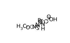 CCOC1CCN(c2nc(C(=O)Nc3ccc(C(=O)O)cc3Br)cs2)CC1